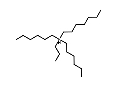 CCCCCCC[PH](CCC)(CCCCCC)CCCCCC